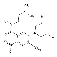 CN(C)CCN(C)C(=O)c1cc(N(CCBr)CCBr)c(C#N)cc1[N+](=O)[O-]